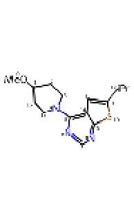 COC1CCN(c2ncnc3sc(C(C)C)cc23)CC1